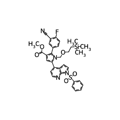 COC(=O)c1cc(-c2ccnc3c2ccn3S(=O)(=O)c2ccccc2)n(COCC[Si](C)(C)C)c1-c1ccc(F)c(C#N)c1